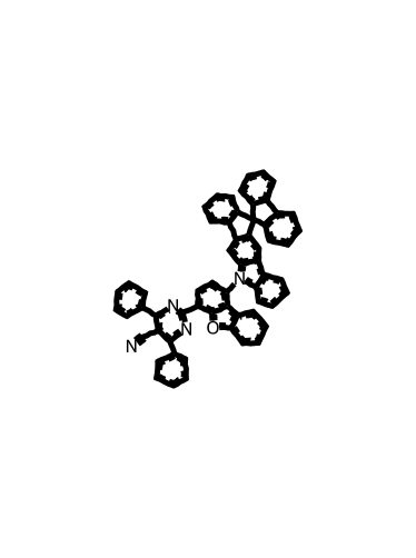 N#Cc1c(-c2ccccc2)nc(-c2ccc(-n3c4ccccc4c4cc5c(cc43)-c3ccccc3C53c4ccccc4-c4ccccc43)c3c2oc2ccccc23)nc1-c1ccccc1